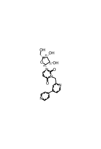 O=c1ccn([C@@H]2O[C@H](CO)[C@H](O)[C@@H]2O)c(=O)n1Cc1cc(-c2ccncc2)ccn1